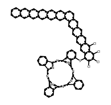 Clc1c(Cl)c(Cl)c2c(Cl)c3cc4cc5cc6ccc7cc8cc9cc%10cc%11cc%12ccccc%12cc%11cc%10cc9cc8cc7c6cc5cc4cc3cc2c1Sc1cccc2c3nc4nc(nc5[nH]c(nc6nc(nc([nH]3)c12)-c1ccccc1-6)c1ccccc51)-c1ccccc1-4